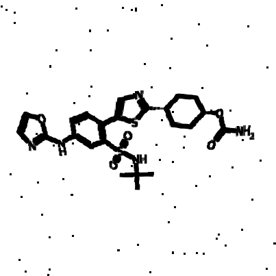 CC(C)(C)NS(=O)(=O)c1cc(Nc2ncco2)ccc1-c1cnc([C@H]2CC[C@H](OC(N)=O)CC2)s1